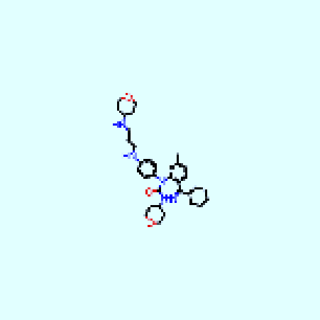 Cc1ccc2c(c1)N(c1ccc(NCCCNC3CCOCC3)cc1)C(=O)N(C1CCOCC1)N=C2C1CCCCC1